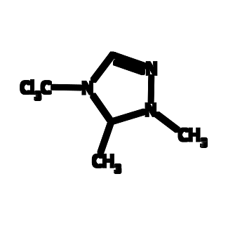 CC1N(C)N=CN1C(Cl)(Cl)Cl